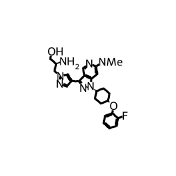 CNc1cc2c(cn1)c(-c1cnn(C[C@H](N)CO)c1)nn2[C@H]1CC[C@@H](Oc2ccccc2F)CC1